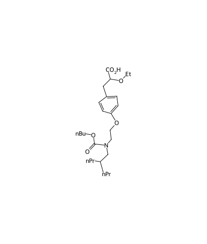 CCCCOC(=O)N(CCOc1ccc(CC(OCC)C(=O)O)cc1)CC(CCC)CCC